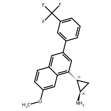 COc1ccc2cc(-c3cccc(C(F)(F)F)c3)cc([C@@H]3C[C@H]3N)c2c1